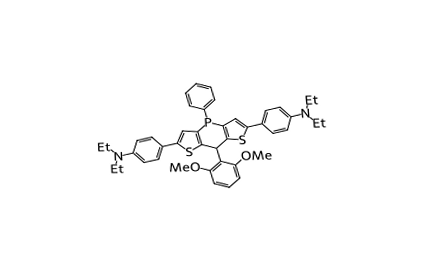 CCN(CC)c1ccc(-c2cc3c(s2)C(c2c(OC)cccc2OC)c2sc(-c4ccc(N(CC)CC)cc4)cc2P3c2ccccc2)cc1